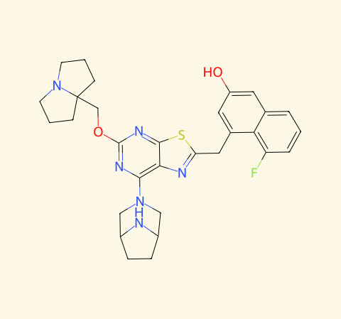 Oc1cc(Cc2nc3c(N4CC5CCC(C4)N5)nc(OCC45CCCN4CCC5)nc3s2)c2c(F)cccc2c1